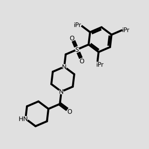 CC(C)c1cc(C(C)C)c(S(=O)(=O)CN2CCN(C(=O)C3CCNCC3)CC2)c(C(C)C)c1